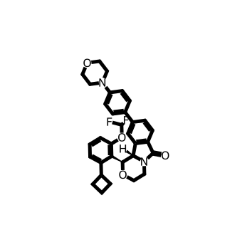 O=C1c2ccc(-c3ccc(N4CCOCC4)cc3)cc2[C@H]2[C@H](c3c(OC(F)F)cccc3C3CCC3)OCCN12